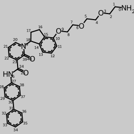 NCCOCCOCCOc1cccc2c1CCC2n1cccc(C(=O)Nc2ccc(-c3ccccc3)cc2)c1=O